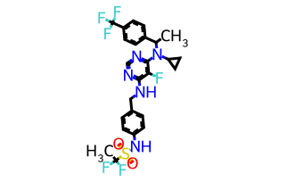 CC(c1ccc(C(F)(F)F)cc1)N(c1ncnc(NCc2ccc(NS(=O)(=O)C(C)(F)F)cc2)c1F)C1CC1